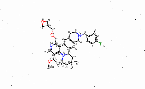 Cc1cc(F)ccc1CN1CCc2cc(-c3c(COCC4COC4)nc(C)c([C@H](OC(C)(C)C)C(=O)O)c3N3CCC(C)(C)CC3)ccc2C1